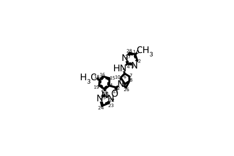 Cc1cnc(NC2CC3CC2N(C(=O)c2ccc(C)cc2-n2nccn2)C3)nc1